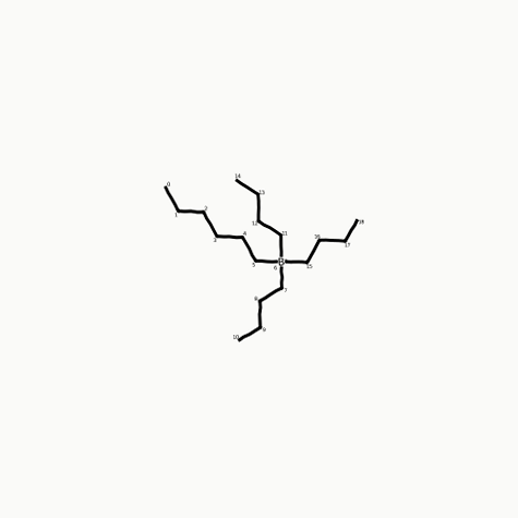 CCCCCC[B-](CCCC)(CCCC)CCCC